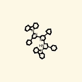 C1=C(c2ccccc2)C=C(n2c3ccccc3c3ccccc32)NC1c1cc(-c2ccccc2)cc(-c2cc(-c3ccccc3)cc(-n3c4ccccc4c4ccccc43)n2)n1